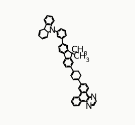 CC1(C)c2cc(C3=CC=C(c4ccc5c(c4)c4ccccc4c4nccnc54)CC3)ccc2-c2ccc(-c3cccc(N4c5ccccc5C5C=CC=CC54)c3)cc21